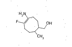 CC1CC/C(F)=C(/N)CCC1CO